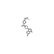 CN1C=CN(C2CCN(C(=O)c3ccc(OC(F)(F)F)cc3)CC2)c2ccc(F)cc21